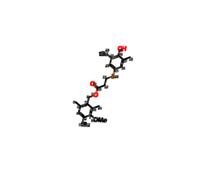 COc1c(C(C)(C)C)cc(C)c(COC(=O)CCSc2cc(C)c(O)c(C(C)(C)C)c2)c1C